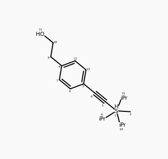 CC(C)[SH](C)(C#Cc1ccc(CCO)cc1)(C(C)C)C(C)C